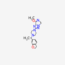 COc1nccn2nc(N3CCN(C(C)c4ccc5c(c4)OCC5)CC3)nc12